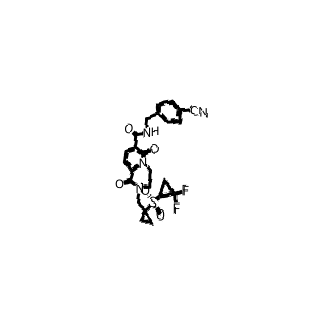 N#Cc1ccc(CNC(=O)c2ccc3n(c2=O)CCN(CC2(S(=O)(=O)C4CC4(F)F)CC2)C3=O)cc1